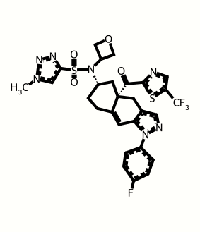 Cn1cc(S(=O)(=O)N(C2COC2)[C@H]2CCC3=Cc4c(cnn4-c4ccc(F)cc4)C[C@]3(C(=O)c3ncc(C(F)(F)F)s3)C2)nn1